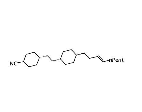 CCCCC/C=C/CC[C@H]1CC[C@H](CC[C@H]2CC[C@H](C#N)CC2)CC1